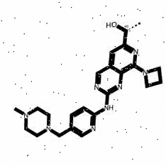 C[C@@H](O)c1cc2cnc(Nc3ccc(CN4CCN(C)CC4)cn3)nc2c(N2CCC2)n1